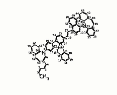 C/C=C\C=C/C1=CN(c2ccc3c(c2)C2(Cc4ccccc4C2)c2cc(/C=C/c4ccc(N5c6ccccc6C=CC6C=CC=CC65)c5ccccc45)ccc2-3)C2=C(C=CCC2)C=C1